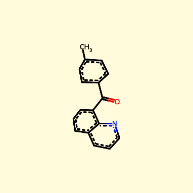 Cc1ccc(C(=O)c2cccc3cccnc23)cc1